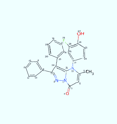 Cc1cc(=O)n2nc(-c3ccccc3)c(-c3ccccc3)c2n1-c1ccc(O)c(F)c1